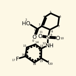 O=C(O)C1=CCCCC1S(=O)(=O)Nc1ccc(F)cc1I